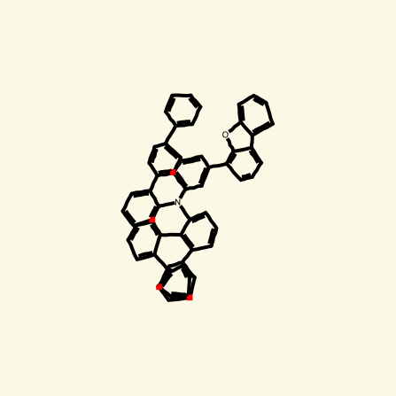 c1ccc(-c2ccc(-c3ccccc3N(c3cccc(-c4cccc5c4oc4ccccc45)c3)c3cccc(-c4ccccc4)c3-c3ccccc3-c3ccccc3)cc2)cc1